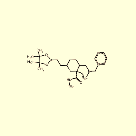 CN(Cc1ccccc1)CC1CCC(CCB2OC(C)(C)C(C)(C)O2)CC1(C)C(=O)NC(C)(C)C